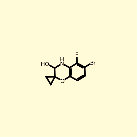 OC1Nc2c(ccc(Br)c2F)OC12CC2